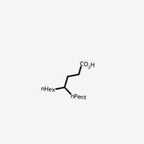 CCCCCCC(CCCCC)CCC(=O)O